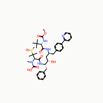 COC(=O)N[C@H](C(=O)N[C@@H](Cc1ccc(-c2ccccn2)cc1)C[C@H](O)[C@H](Cc1ccccc1)NC(=O)[C@@H](N(C)C(=O)O)C(C)(C)[S+](C)[O-])C(C)(C)C